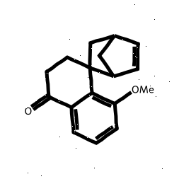 COc1cccc2c1C1(CCC2=O)CC2C=CC1C2